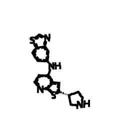 c1cc(Nc2ccc3scnc3c2)c2cc([C@@H]3CCNC3)sc2n1